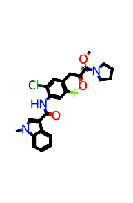 CO[C@@H](C(=O)Cc1cc(Cl)c(NC(=O)c2cn(C)c3ccccc23)cc1F)N1C[CH]CC1